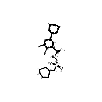 Cc1cc(-c2ccccc2)cc(C(=O)NNS(=O)(=O)CC2CCCCC2)c1F